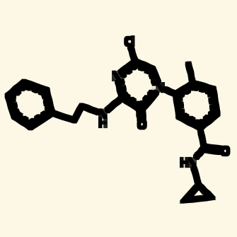 Cc1ccc(C(=O)NC2CC2)cc1-n1cc(Cl)nc(NCCc2ccccc2)c1=O